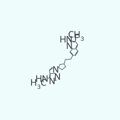 CNc1nc2cc(CCC3CCC(n4ccc5c(NC)ncnc54)C3)ccc2cc1F